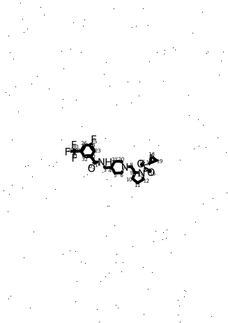 O=C(NCC1CCN(CC2CCCN2S(=O)(=O)C2CC2)CC1)c1cc(F)cc(C(F)(F)F)c1